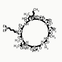 C/C=C/C[C@@H](C)[C@@H](O)[C@H]1C(=O)N[C@@H](CC)C(=O)N(C)[C@H](CSCCCCN(CC)CC)C(=O)N(C)[C@@H](CC(C)(C)O)C(=O)N[C@@H](C(C)C)C(=O)N(C)[C@@H](CC(C)C)C(=O)N[C@@H](C)C(=O)N[C@H](C)C(=O)N(C)[C@@H](CC(C)C)C(=O)N(C)[C@@H](CC(C)C)C(=O)N(C)[C@@H](C(C)C)C(=O)N1C